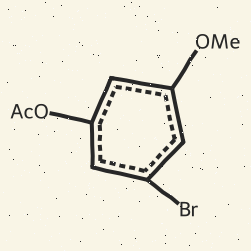 COc1cc(Br)cc(OC(C)=O)c1